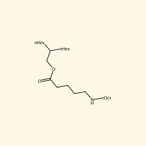 CCCCCCCCNCCCCC(=O)OCC(CCCCCC)CCCCCC